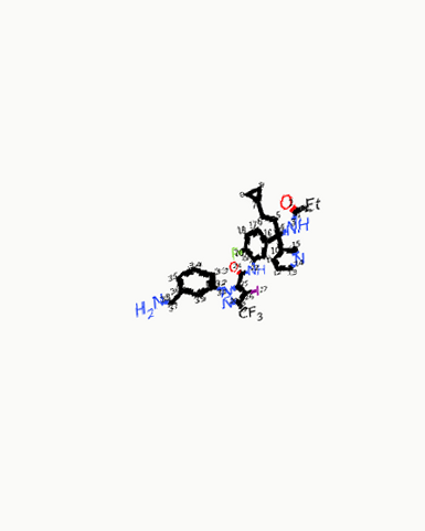 CCC(=O)NC(CCC1CC1)(c1cccnc1)c1ccc(F)c(NC(=O)c2c(I)c(C(F)(F)F)nn2-c2cccc(CN)c2)c1